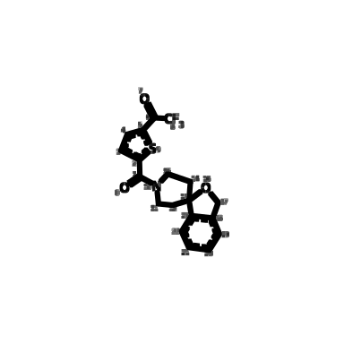 O=C(c1ccc(C(=O)C(F)(F)F)s1)N1CCC2(CC1)OCc1ccccc12